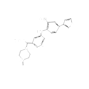 CCOC(=O)C(c1cccc(Nc2ccc(-c3ccoc3)cc2[N+](=O)[O-])c1)N1CCN(C)CC1